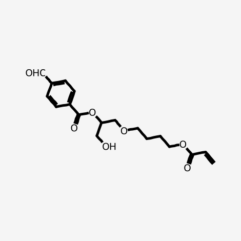 C=CC(=O)OCCCCOCC(CO)OC(=O)c1ccc(C=O)cc1